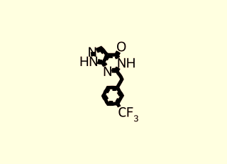 O=c1[nH]c(Cc2cccc(C(F)(F)F)c2)nc2[nH]ncc12